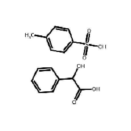 Cc1ccc(S(=O)(=O)O)cc1.O=C(O)C(O)c1ccccc1